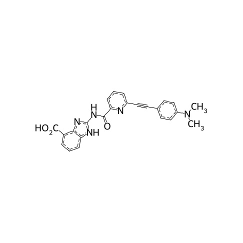 CN(C)c1ccc(C#Cc2cccc(C(=O)Nc3nc4c(C(=O)O)cccc4[nH]3)n2)cc1